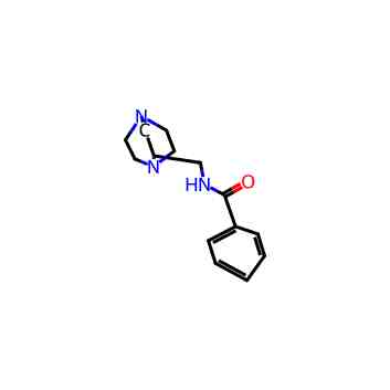 O=C(NCC1CN2CCN1CC2)c1ccccc1